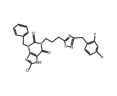 O=c1c2[nH]c(Cl)nc2n(Cc2ccccc2)c(=O)n1CCCc1nc(Cc2ccc(F)cc2F)no1